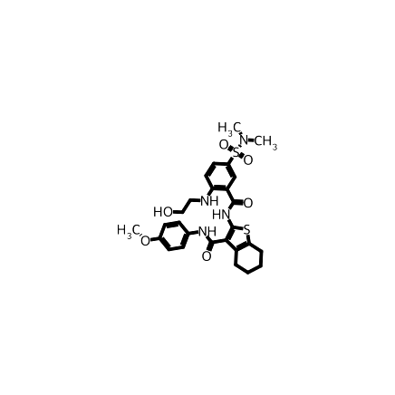 COc1ccc(NC(=O)c2c(NC(=O)c3cc(S(=O)(=O)N(C)C)ccc3NCCO)sc3c2CCCC3)cc1